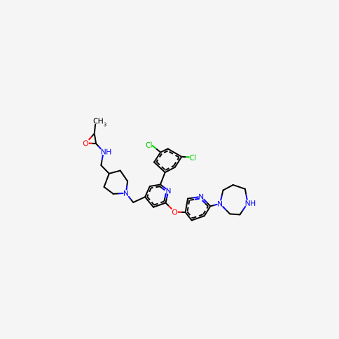 CC1OC1NCC1CCN(Cc2cc(Oc3ccc(N4CCCNCC4)nc3)nc(-c3cc(Cl)cc(Cl)c3)c2)CC1